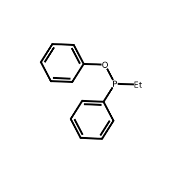 CCP(Oc1ccccc1)c1ccccc1